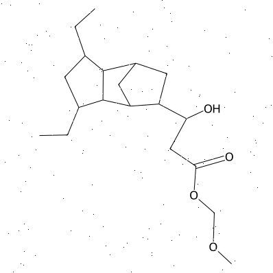 CCC1CC(CC)C2C3CC(CC3C(O)CC(=O)OCOC)C12